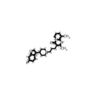 Cc1nc2c(C)cccn2c(=O)c1CCCN1CCC(c2coc3cc(F)ccc23)CC1